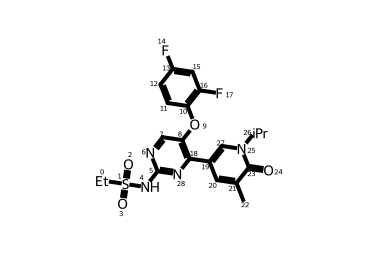 CCS(=O)(=O)Nc1ncc(Oc2ccc(F)cc2F)c(-c2cc(C)c(=O)n(C(C)C)c2)n1